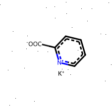 O=C([O-])c1ccccn1.[K+]